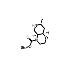 C[C@H]1C[C@H]2OCCN(C(=O)OC(C)(C)C)[C@H]2CN1